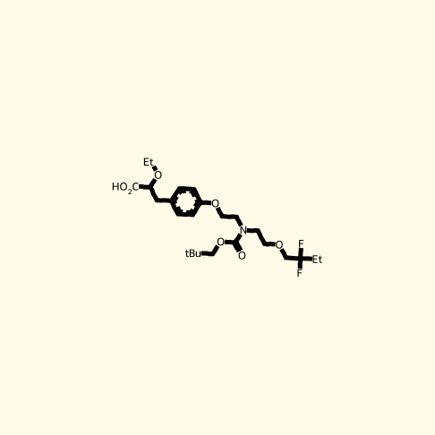 CCOC(Cc1ccc(OCCN(CCOCC(F)(F)CC)C(=O)OCC(C)(C)C)cc1)C(=O)O